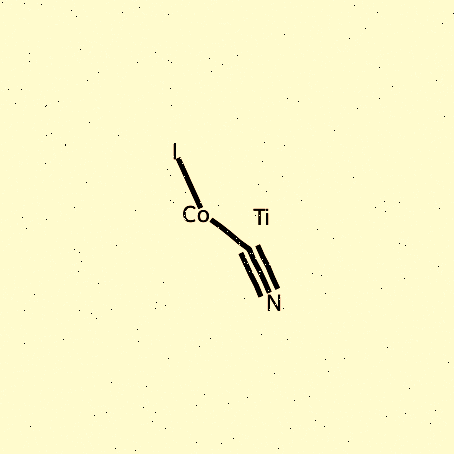 N#[C][Co][I].[Ti]